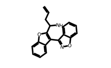 C=CCC(N)c1oc2ccccc2c1-c1noc2ccccc12